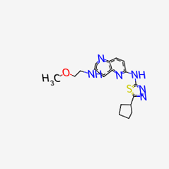 COCCNc1cnc2ccc(Nc3nnc(C4CCCC4)s3)nc2c1